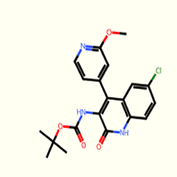 COc1cc(-c2c(NC(=O)OC(C)(C)C)c(=O)[nH]c3ccc(Cl)cc23)ccn1